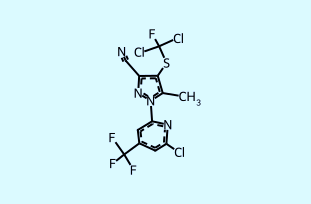 Cc1c(SC(F)(Cl)Cl)c(C#N)nn1-c1cc(C(F)(F)F)cc(Cl)n1